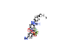 CCc1ccc(-c2nc3ccc(NC(=O)c4cc(C#N)ccc4S(=O)(=O)C(F)(F)F)cc3[nH]2)cc1